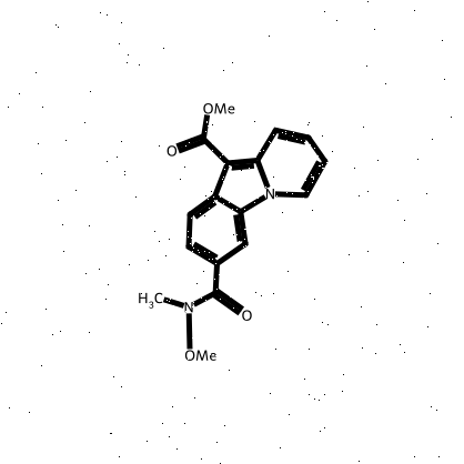 COC(=O)c1c2ccc(C(=O)N(C)OC)cc2n2ccccc12